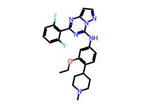 CCOc1cc(Nc2nc(-c3c(F)cccc3F)nc3ccnn23)ccc1C1CCN(C)CC1